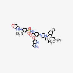 C=C(CC(C)C(C)C)C1=C(CN2CCN(c3ccc(C(=O)NS(=O)(=O)c4ccc(NCC5CCOCC5)c([N+](=O)[O-])c4)c(Oc4cnc5c(ccn5I)c4)c3)CC2)CCC2(CCC2)C1